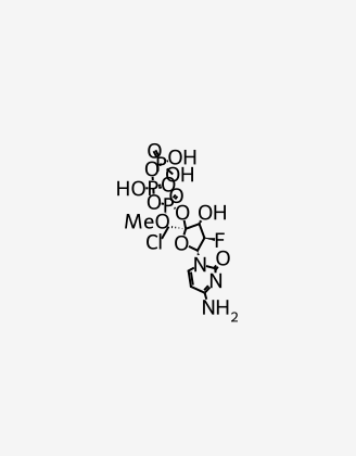 COP(=O)(O[C@]1(CCl)O[C@@H](n2ccc(N)nc2=O)[C@H](F)[C@@H]1O)OP(=O)(O)OP(=O)(O)O